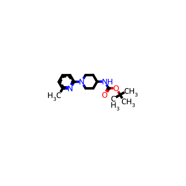 Cc1cccc(N2CCC(NC(=O)OC(C)(C)C)CC2)n1